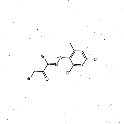 Cc1cc(Cl)cc(Cl)c1NN=C(Br)C(=O)CBr